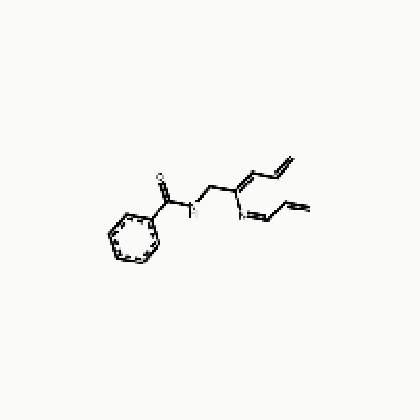 C=C/C=N\C(=C/C=C)CNC(=O)c1ccccc1